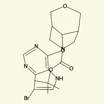 CC(C)(C)OC(=O)N1CC2COCC(C1)C2Oc1ncnc2c(Br)c[nH]c12